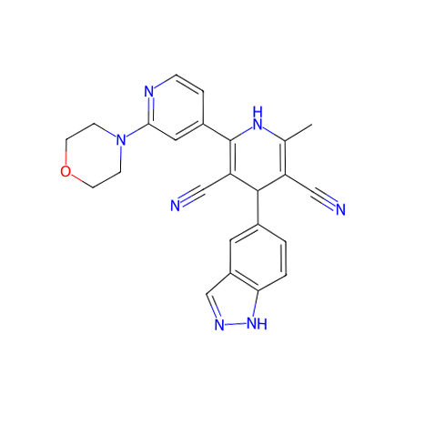 CC1=C(C#N)C(c2ccc3[nH]ncc3c2)C(C#N)=C(c2ccnc(N3CCOCC3)c2)N1